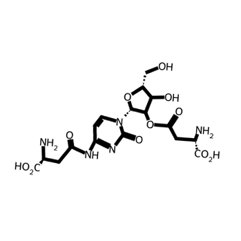 N[C@@H](CC(=O)Nc1ccn([C@@H]2O[C@H](CO)C(O)C2OC(=O)C[C@H](N)C(=O)O)c(=O)n1)C(=O)O